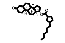 CCCCCCC1CCC(C(=O)O[C@H]2CC[C@H]3[C@@H]4CCC5=CC(=O)CC[C@]5(C)[C@H]4CC[C@]23C)C1